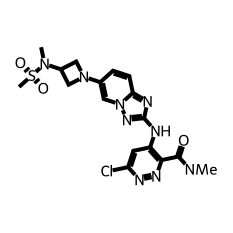 CNC(=O)c1nnc(Cl)cc1Nc1nc2ccc(N3CC(N(C)S(C)(=O)=O)C3)cn2n1